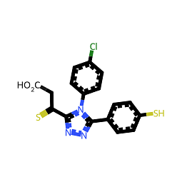 O=C(O)CC(=S)c1nnc(-c2ccc(S)cc2)n1-c1ccc(Cl)cc1